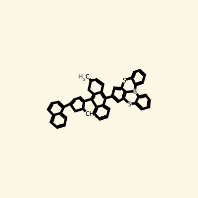 CC1C=Cc2c(c(C3=CC=C(c4cccc5ccccc45)CC3C)c3ccccc3c2-c2cc3c4c(c2)Sc2ccccc2B4c2ccccc2S3)C1